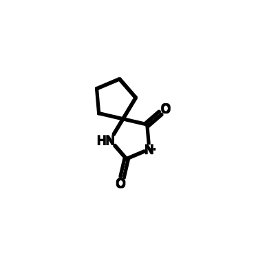 O=C1[N]C(=O)C2(CCCC2)N1